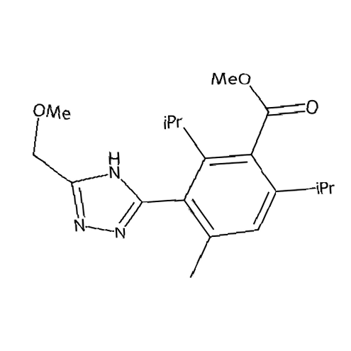 COCc1nnc(-c2c(C)cc(C(C)C)c(C(=O)OC)c2C(C)C)[nH]1